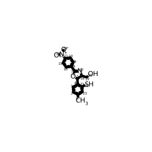 Cc1ccc(C2OC(c3ccc([N+](=O)[O-])cc3)=NC2CO)c(S)c1